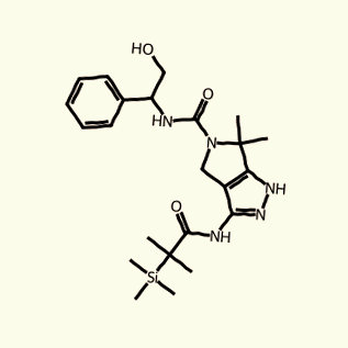 CC1(C)c2[nH]nc(NC(=O)C(C)(C)[Si](C)(C)C)c2CN1C(=O)NC(CO)c1ccccc1